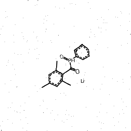 Cc1cc(C)c(C(=O)[PH](=O)c2ccccc2)c(C)c1.[Li]